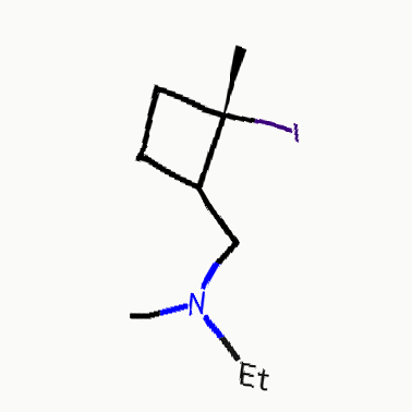 CCN(C)CC1CC[C@]1(C)I